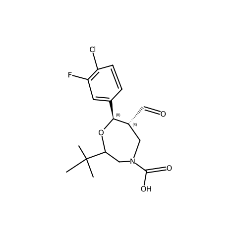 CC(C)(C)C1CN(C(=O)O)C[C@@H](C=O)[C@H](c2ccc(Cl)c(F)c2)O1